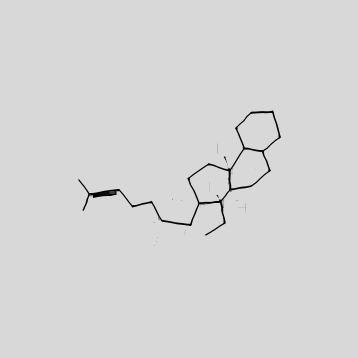 CC(C)=CCC[C@@H](C)[C@H]1CC[C@H]2[C@@H]3CCC4CCCC[C@]4(C)[C@H]3CC[C@]12C